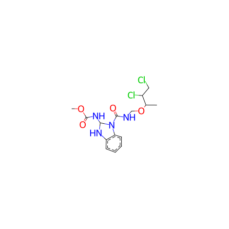 COC(=O)NC1Nc2ccccc2N1C(=O)NCOC(C)C(Cl)CCl